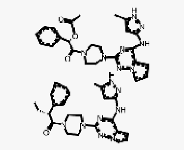 CC(=O)O[C@H](C(=O)N1CCN(c2nc(Nc3cc(C)[nH]n3)c3cccn3n2)CC1)c1ccccc1.CC[C@@H](C(=O)N1CCN(c2nc(Nc3cc(C)[nH]n3)c3cccn3n2)CC1)c1ccccc1